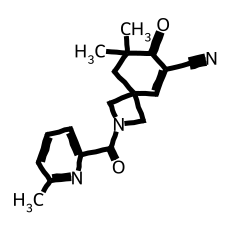 Cc1cccc(C(=O)N2CC3(C=C(C#N)C(=O)C(C)(C)C3)C2)n1